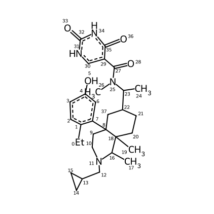 CCc1ccc(O)cc1C12CCN(CC3CC3)C(C)C1(C)CCC(C(C)N(C)C(=O)c1c[nH]c(=O)[nH]c1=O)C2